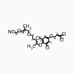 CC(COCCCC(C)Oc1c(Cl)cc(OCC=C(Cl)Cl)cc1Cl)=NOCC#N